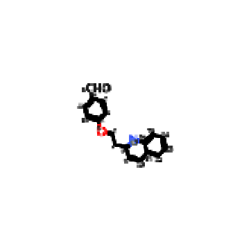 O=Cc1ccc(OCCc2ccc3ccccc3n2)cc1